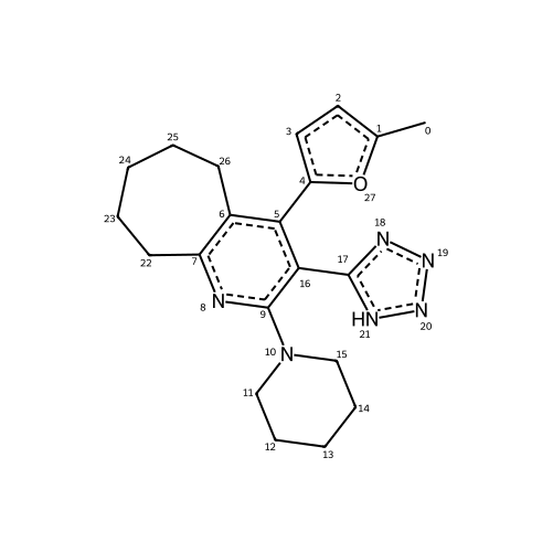 Cc1ccc(-c2c3c(nc(N4CCCCC4)c2-c2nnn[nH]2)CCCCC3)o1